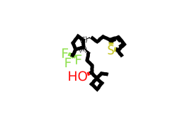 CCC1(C(O)CCC[C@H]2C(C(F)(F)F)CC[C@@H]2CCCc2ccc(C)s2)CCC1